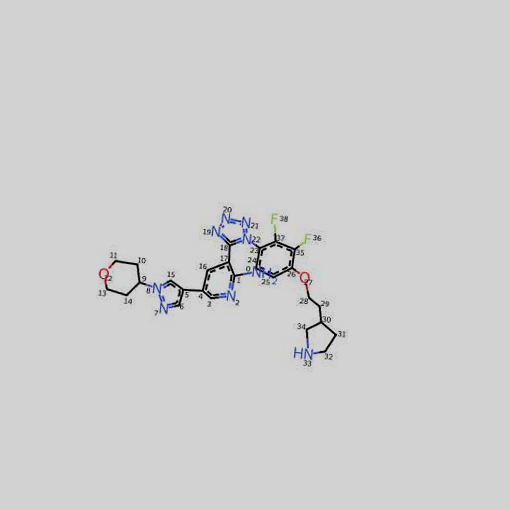 Nc1ncc(-c2cnn(C3CCOCC3)c2)cc1-c1nnnn1-c1ccc(OCCC2CCNC2)c(F)c1F